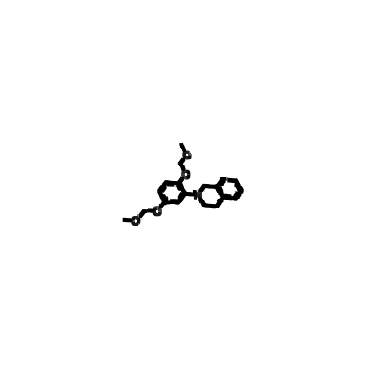 COCOc1ccc(OCOC)c(N2CCc3ccccc3C2)c1